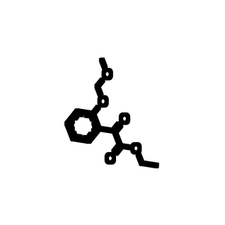 CCOC(=O)C(=O)c1ccccc1OCOC